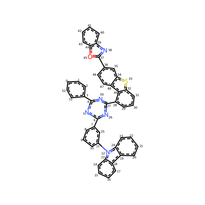 c1ccc(-c2nc(-c3cccc(-n4c5ccccc5c5ccccc54)c3)nc(-c3cccc4sc5cc(-c6nc7ccccc7o6)ccc5c34)n2)cc1